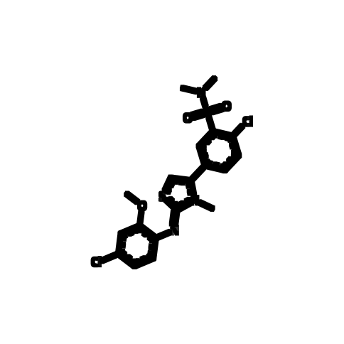 COc1cc(Cl)ccc1N=c1scc(-c2ccc(Cl)c(S(=O)(=O)N(C)C)c2)n1C